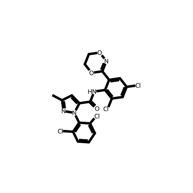 Cc1cc(C(=O)Nc2c(Cl)cc(Cl)cc2C2=NOCCO2)n(-c2c(Cl)cccc2Cl)n1